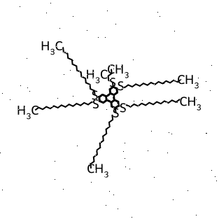 CCCCCCCCCCCCCCCCSc1cc2c3cc(SCCCCCCCCCCCCCCCC)c(SCCCCCCCCCCCCCCCC)cc3c3cc(SCC(C)CC)c(SCCCCCCCCCCCCCCCC)cc3c2cc1SCCCCCCCCCCCCCCCC